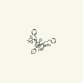 CC(C)(C)OC(=O)N(Cc1ccccc1)[C@H](CC(=O)N1CCOCC1)C(=O)N[C@@H](CCCc1ccccc1)B(O)O